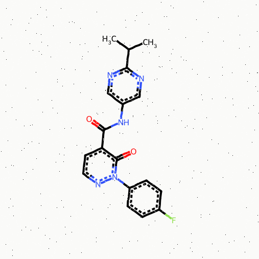 CC(C)c1ncc(NC(=O)c2ccnn(-c3ccc(F)cc3)c2=O)cn1